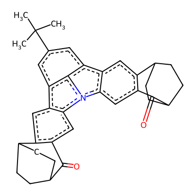 CC(C)(C)c1cc2c3cc4c(cc3n3c5cc6c(cc5c(c1)c23)C1CCC(CC1)C6=O)C(=O)C1CCC4CC1